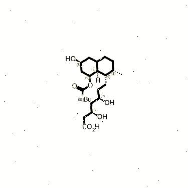 CC[C@H](C)C(=O)O[C@H]1C[C@@H](O)CC2CC[C@H](C)[C@H](CC[C@@H](O)C[C@@H](O)CC(=O)O)[C@H]21